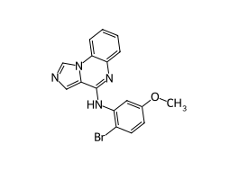 COc1ccc(Br)c(Nc2nc3ccccc3n3cncc23)c1